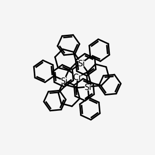 c1ccc([Si](c2ccccc2)(c2ccccc2)[C]2([Cr]([C]3([Si](c4ccccc4)(c4ccccc4)c4ccccc4)CCCCC3)[C]3([Si](c4ccccc4)(c4ccccc4)c4ccccc4)CCCCC3)CCCCC2)cc1